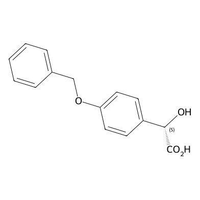 O=C(O)[C@@H](O)c1ccc(OCc2ccccc2)cc1